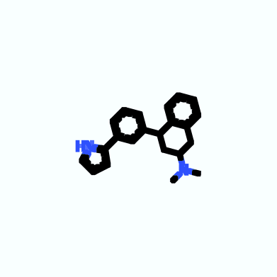 CN(C)C1Cc2ccccc2C(c2cccc(-c3ccc[nH]3)c2)C1